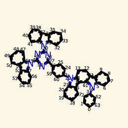 c1ccc(-n2c3ccccc3c3ccc4c(c5ccccc5n4-c4ccc(-c5nc(-n6c7ccccc7c7ccccc76)nc(-n6c7ccccc7c7ccccc76)n5)cc4)c32)cc1